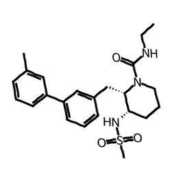 CCNC(=O)N1CCC[C@H](NS(C)(=O)=O)[C@@H]1Cc1cccc(-c2cccc(C)c2)c1